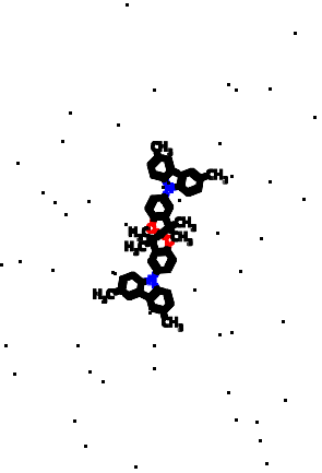 CC1=CCC2C(=C1)c1cc(C)ccc1N2c1ccc2c(c1)C(C)(C)C1(O2)Oc2ccc(-n3c4ccc(C)cc4c4cc(C)ccc43)cc2C1(C)C